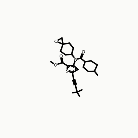 COC(=O)c1sc(C#CC(C)(C)C)cc1N(C(=O)C1CCC(C)CC1)C1CCC2(CC1)CO2